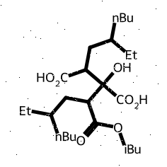 CCCCC(CC)CC(C(=O)O)C(O)(C(=O)O)C(CC(CC)CCCC)C(=O)OC(C)CC